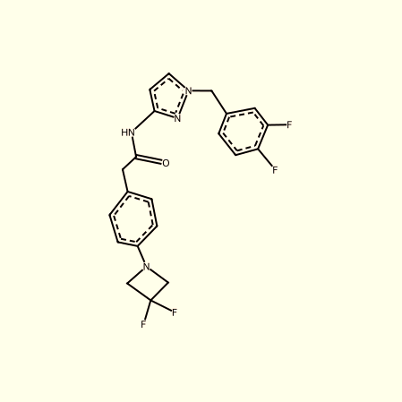 O=C(Cc1ccc(N2CC(F)(F)C2)cc1)Nc1ccn(Cc2ccc(F)c(F)c2)n1